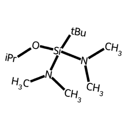 CC(C)O[Si](N(C)C)(N(C)C)C(C)(C)C